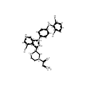 C=CC(=O)N1CCOC(c2nn(-c3ccc(Oc4c(F)cccc4F)cc3)c3cncc(F)c23)C1